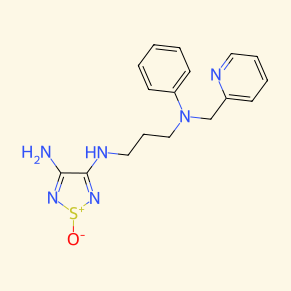 Nc1n[s+]([O-])nc1NCCCN(Cc1ccccn1)c1ccccc1